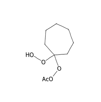 CC(=O)OOC1(OO)CCCCCC1